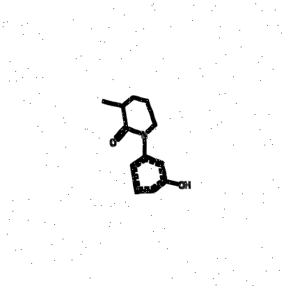 CC1CCCN(c2cccc(O)c2)C1=O